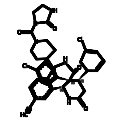 C#Cc1ccc(OC2CCN(C(=O)N3CCNC3=O)CC2)c([C@H]2NC(=O)C[C@@H](C3C=CC=C(Cl)C3)[C@]23C(=O)Nc2cc(Cl)ccc23)c1